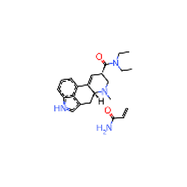 C=CC(N)=O.CCN(CC)C(=O)[C@@H]1C=C2c3cccc4[nH]cc(c34)C[C@H]2N(C)C1